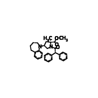 COC(=O)[C@]1(C)C[C@H](N2CCCCc3ccccc32)CN1C(=O)C(c1ccccc1)c1ccccc1